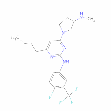 CCCCc1cc(N2CCC(NC)C2)nc(Nc2ccc(F)c(C(F)(F)F)c2)n1